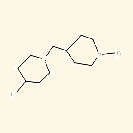 CC(C)C1CCN(CC2CCN(C(C)C)CC2)CC1